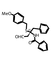 COc1ccc(CS[C@](CC=O)(Cc2ccccc2)NC(=O)c2ccccc2)cc1